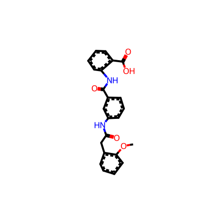 COc1ccccc1CC(=O)Nc1cccc(C(=O)Nc2ccccc2C(=O)O)c1